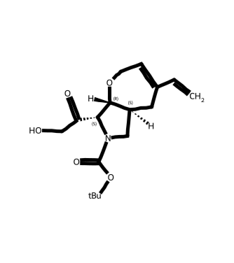 C=CC1=CCO[C@@H]2[C@@H](C1)CN(C(=O)OC(C)(C)C)[C@@H]2C(=O)CO